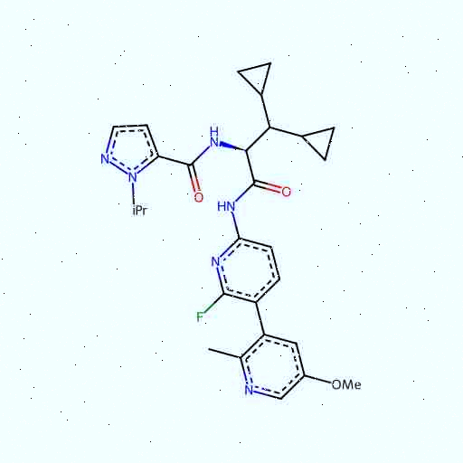 COc1cnc(C)c(-c2ccc(NC(=O)[C@@H](NC(=O)c3ccnn3C(C)C)C(C3CC3)C3CC3)nc2F)c1